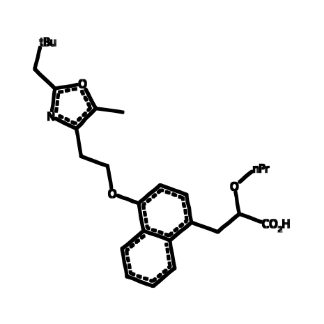 CCCOC(Cc1ccc(OCCc2nc(CC(C)(C)C)oc2C)c2ccccc12)C(=O)O